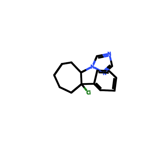 ClC1(c2ccccc2)CCCCCC1n1cncn1